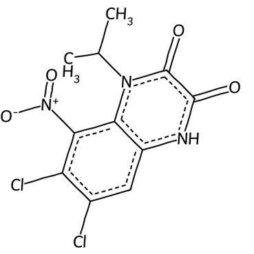 CC(C)n1c(=O)c(=O)[nH]c2cc(Cl)c(Cl)c([N+](=O)[O-])c21